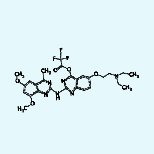 CCN(CC)CCOc1ccc2nc(Nc3nc(C)c4cc(OC)cc(OC)c4n3)nc(OC(=O)C(F)(F)F)c2c1